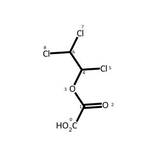 O=C(O)C(=O)OC(Cl)C(Cl)Cl